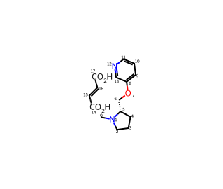 CN1CCC[C@H]1COc1cccnc1.O=C(O)/C=C/C(=O)O